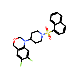 O=S(=O)(c1cccc2ccccc12)N1CCC(N2COCc3cc(F)c(F)cc32)CC1